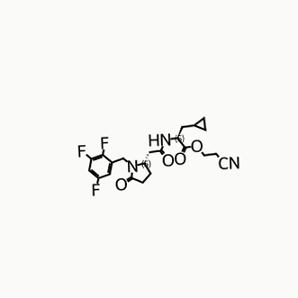 N#CCCOC(=O)[C@H](CC1CC1)NC(=O)C[C@@H]1CCC(=O)N1Cc1cc(F)cc(F)c1F